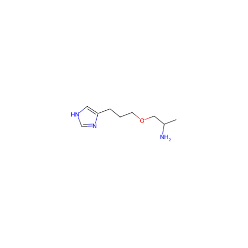 CC(N)COCCCc1c[nH]cn1